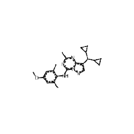 COc1cc(C)c(Nc2nc(C)nc3c(C(C4CC4)C4CC4)cnn23)c(C)c1